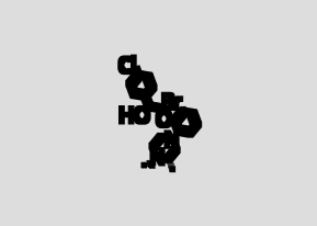 [CH2]N1CCN(c2cccc(Br)c2OCC(O)c2ccc(Cl)cc2)C[C@@H]1C